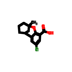 CC12CCCC(C1)c1cc(Cl)cc(C(=O)O)c1O2